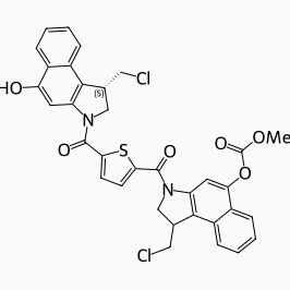 COC(=O)Oc1cc2c(c3ccccc13)C(CCl)CN2C(=O)c1ccc(C(=O)N2C[C@@H](CCl)c3c2cc(O)c2ccccc32)s1